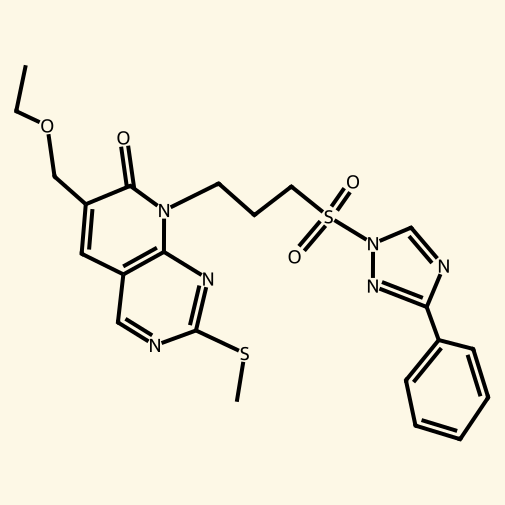 CCOCc1cc2cnc(SC)nc2n(CCCS(=O)(=O)n2cnc(-c3ccccc3)n2)c1=O